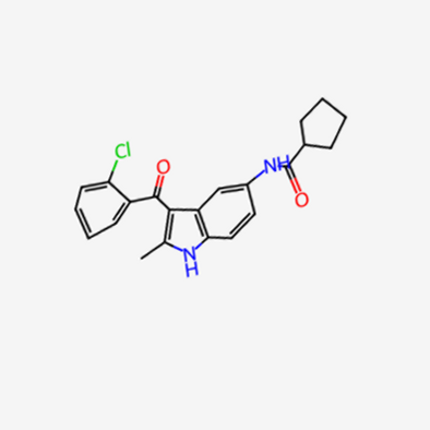 Cc1[nH]c2ccc(NC(=O)C3CCCC3)cc2c1C(=O)c1ccccc1Cl